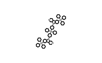 c1ccc([Si](c2ccccc2)(c2ccc(-n3c4ccc([Si](c5ccccc5)(c5ccccc5)c5ccccc5)cc4c4ccncc43)cc2)c2ccc(-n3c4ccc([Si](c5ccccc5)(c5ccccc5)c5ccccc5)cc4c4ccncc43)cc2)cc1